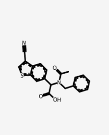 CC(=O)N(Cc1ccccc1)C(C(=O)O)c1ccc2c(C#N)csc2c1